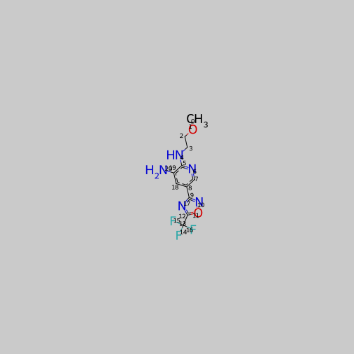 COCCNc1ncc(-c2noc(C(F)(F)F)n2)cc1N